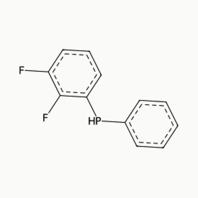 Fc1cccc(Pc2ccccc2)c1F